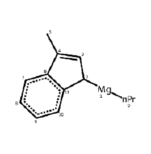 [CH2]C[CH2][Mg][CH]1C=C(C)c2ccccc21